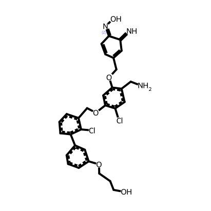 N=C1C=C(COc2cc(OCc3cccc(-c4cccc(OCCCO)c4)c3Cl)c(Cl)cc2CN)C=C/C1=N/O